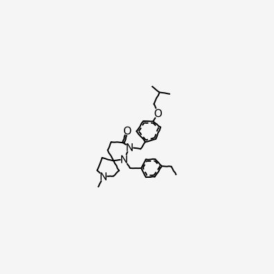 CCc1ccc(CN2N(Cc3ccc(OCC(C)C)cc3)C(=O)CCC23CCN(C)CC3)cc1